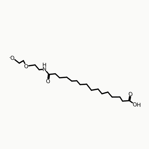 [O]CCOCCNC(=O)CCCCCCCCCCCCCCC(=O)O